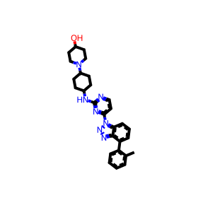 Cc1ccccc1-c1cccc2c1nnn2-c1ccnc(NC2CC[C](N3CCC(O)CC3)CC2)n1